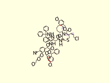 COCCOCOc1c(C#N)ccc(C(ONc2sc(NC(c3ccccc3)(c3ccccc3)c3ccccc3)nc2CC(=O)N[C@H]2CSCC(/C=C\CCl)=C(/C(=O)OCc3ccc(OC)cc3)N(C3/C=C\CCCCC3)C2=O)C(=O)OC(c2ccccc2)c2ccccc2)c1OCOCCOC